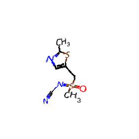 Cc1ncc(CS(C)(=O)=NC#N)s1